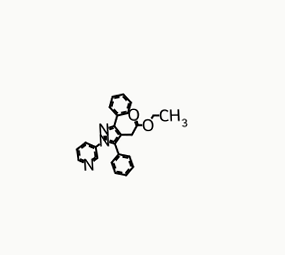 CCOC(=O)Cc1c(-c2ccccc2)nn(-c2cccnc2)c1-c1ccccc1